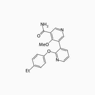 CCc1ccc(Oc2ncccc2-c2cncc(C(N)=O)c2OC)cc1